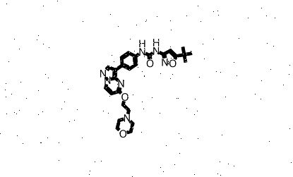 CC(C)(C)c1cc(NC(=O)Nc2ccc(-c3cnn4ccc(OCCN5CCOCC5)nc34)cc2)no1